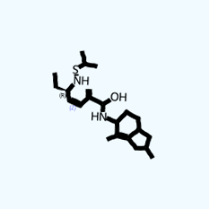 C=C(/C=C\[C@@H](CC)NSC(C)C)C(O)NC1CCC2CC(C)CC2=C1C